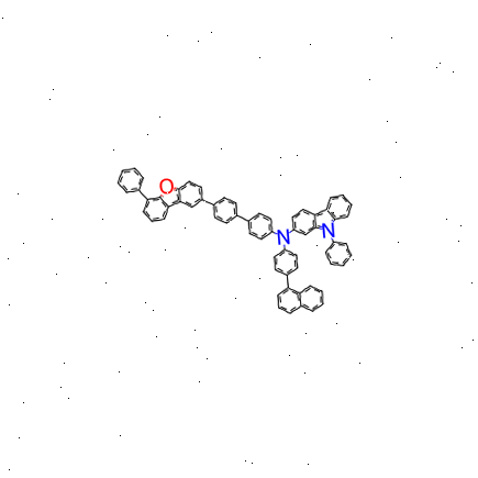 c1ccc(-c2cccc3c2oc2ccc(-c4ccc(-c5ccc(N(c6ccc(-c7cccc8ccccc78)cc6)c6ccc7c8ccccc8n(-c8ccccc8)c7c6)cc5)cc4)cc23)cc1